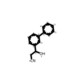 N#CCC(O)c1cccc(-c2ccccc2)c1